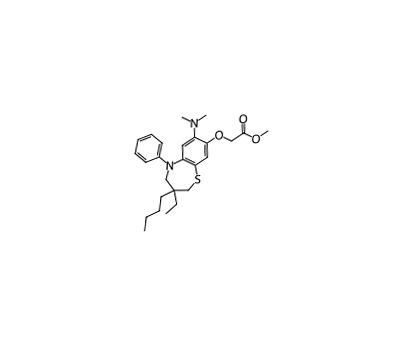 CCCCC1(CC)CSc2cc(OCC(=O)OC)c(N(C)C)cc2N(c2ccccc2)C1